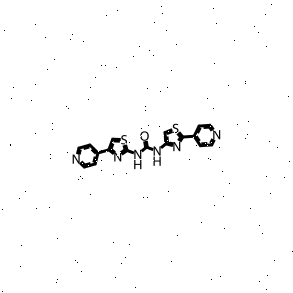 O=C(Nc1csc(-c2ccncc2)n1)Nc1nc(-c2ccncc2)cs1